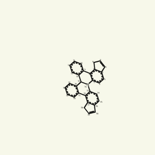 C1=Cc2ccc3c(c2C1)-c1ccccc1C1c2ccccc2-c2c(ccc4c2CC=C4)N31